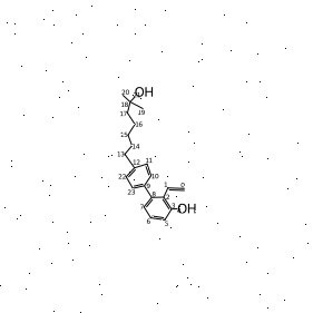 C=Cc1c(O)cccc1-c1ccc(CCCCCC(C)(C)O)cc1